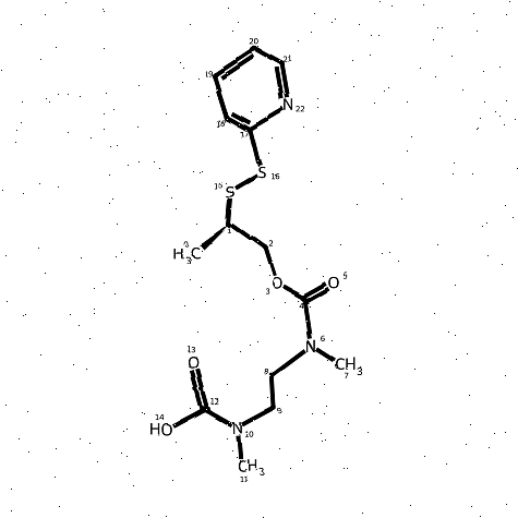 C[C@H](COC(=O)N(C)CCN(C)C(=O)O)SSc1ccccn1